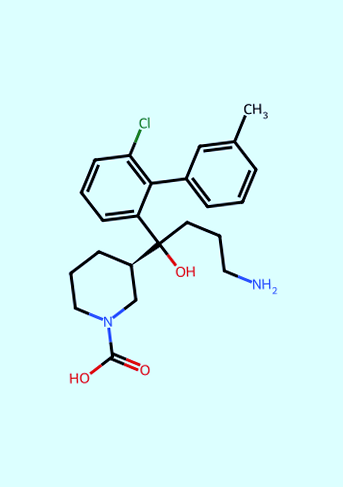 Cc1cccc(-c2c(Cl)cccc2C(O)(CCCN)[C@@H]2CCCN(C(=O)O)C2)c1